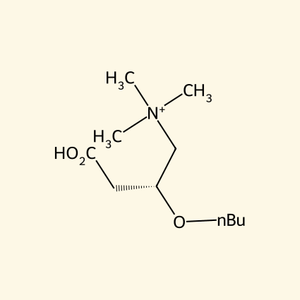 CCCCO[C@H](CC(=O)O)C[N+](C)(C)C